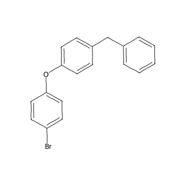 Brc1ccc(Oc2ccc(Cc3ccccc3)cc2)cc1